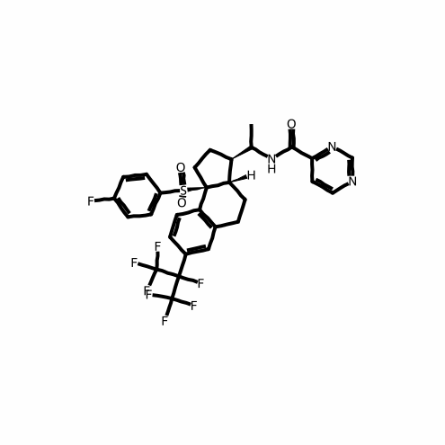 CC(NC(=O)c1ccncn1)[C@@H]1CC[C@@]2(S(=O)(=O)c3ccc(F)cc3)c3ccc(C(F)(C(F)(F)F)C(F)(F)F)cc3CC[C@@H]12